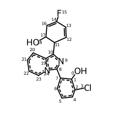 Oc1c(Cl)cccc1-c1nc(C2C=CC(F)=CC2O)c2ccccn12